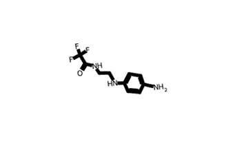 Nc1ccc(NCCNC(=O)C(F)(F)F)cc1